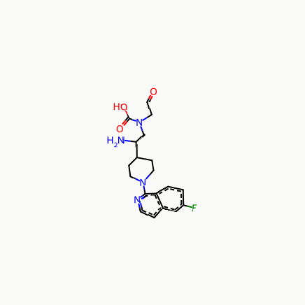 NC(CN(CC=O)C(=O)O)C1CCN(c2nccc3cc(F)ccc23)CC1